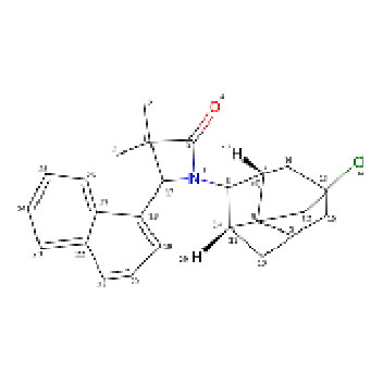 CC1(C)C(=O)N(C2[C@H]3CC4C[C@H]2CC(Cl)(C4)C3)C1c1cccc2ccccc12